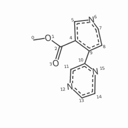 COC(=O)c1cnccc1-c1cnccn1